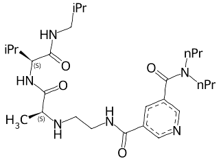 CCCN(CCC)C(=O)c1cncc(C(=O)NCCN[C@@H](C)C(=O)N[C@H](C(=O)NCC(C)C)C(C)C)c1